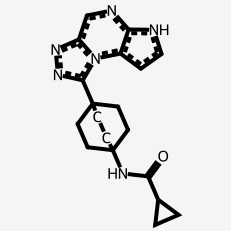 O=C(NC12CCC(c3nnc4cnc5[nH]ccc5n34)(CC1)CC2)C1CC1